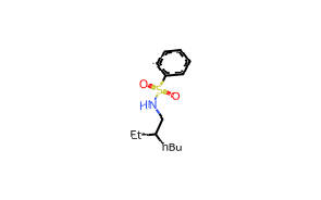 CCCCC(CC)CNS(=O)(=O)c1[c]cccc1